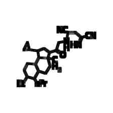 CCCC1C(CC)CCC2C1CCC1(C)C(C(=O)CN/C(C#N)=C\C(=N)C#N)CC(C3CC3)C21